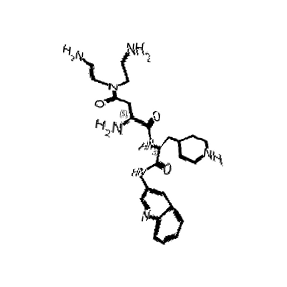 NCCN(CCN)C(=O)C[C@H](N)C(=O)N[C@@H](CC1CCNCC1)C(=O)Nc1cnc2ccccc2c1